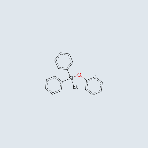 CC[Si](Oc1[c]cccc1)(c1ccccc1)c1ccccc1